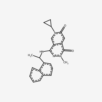 CC(Nc1nn(C)c(=O)c2cc(=O)n(C3CC3)cc12)c1cccc2ccccc12